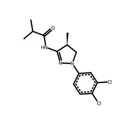 CC(C)C(=O)NC1=NN(c2ccc(Cl)c(Cl)c2)C[C@@H]1C